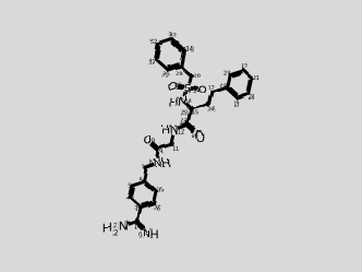 N=C(N)c1ccc(CNC(=O)CNC(=O)[C@H](CCc2ccccc2)NS(=O)(=O)Cc2ccccc2)cc1